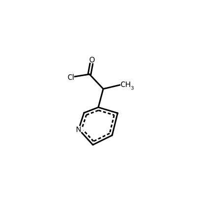 CC(C(=O)Cl)c1cccnc1